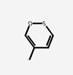 [CH2]C1=COSC=C1